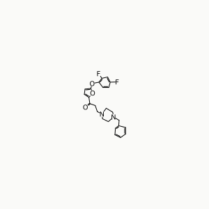 O=C(CCN1CCN(Cc2ccccc2)CC1)c1ccc(Oc2ccc(F)cc2F)o1